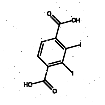 O=C(O)c1ccc(C(=O)O)c(I)c1I